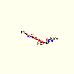 CNCCNC(=O)c1cccc(OCC(OCCOCCOCCCC(=O)NCCOCC#CC(C)C)SC#N)c1